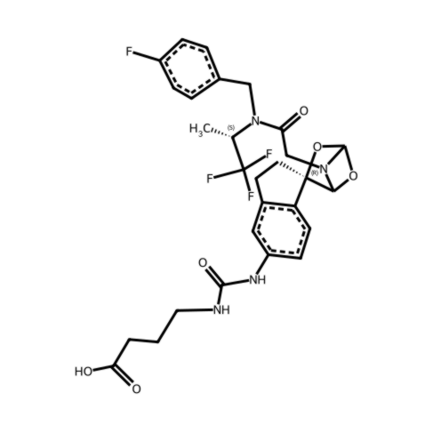 C[C@H](N(Cc1ccc(F)cc1)C(=O)CN1C2OC1[C@]1(CCc3cc(NC(=O)NCCCC(=O)O)ccc31)O2)C(F)(F)F